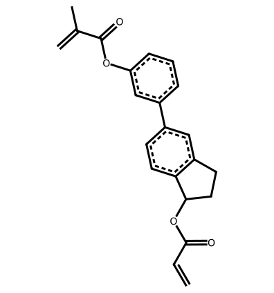 C=CC(=O)OC1CCc2cc(-c3cccc(OC(=O)C(=C)C)c3)ccc21